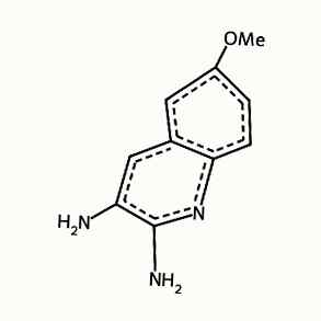 COc1ccc2nc(N)c(N)cc2c1